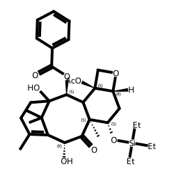 CC[Si](CC)(CC)O[C@H]1C[C@H]2OC[C@@]2(OC(C)=O)C2[C@H](OC(=O)c3ccccc3)C3(O)CCC(C)=C([C@@H](O)C(=O)[C@@]21C)C3(C)C